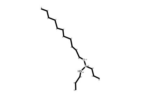 CCCCCCCCCCCON(CCC)NCCC